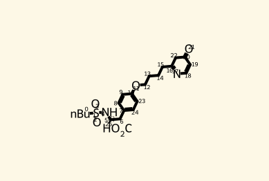 CCCCS(=O)(=O)N[C@@H](Cc1ccc(OCCCCC2=NC=CC(=O)C2)cc1)C(=O)O